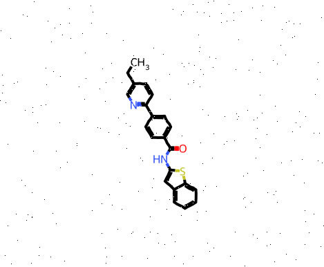 CCc1ccc(-c2ccc(C(=O)Nc3cc4ccccc4s3)cc2)nc1